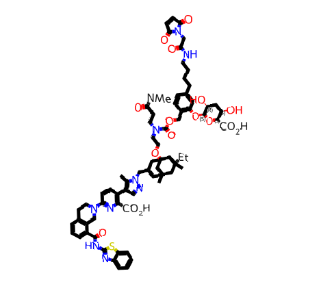 CCC1(C)CC2(C)CC(Cn3ncc(-c4ccc(N5CCc6cccc(C(=O)Nc7nc8ccccc8s7)c6C5)nc4C(=O)O)c3C)CC(OCCN(CCC(=O)NC)C(=O)OCc3ccc(CCCCNC(=O)CN4C(=O)C=CC4=O)cc3O[C@@H]3O[C@H](C(=O)O)[C@@H](O)C[C@H]3O)(C1)C2